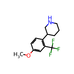 COc1ccc(C2CCCNC2)c(C(F)(F)F)c1